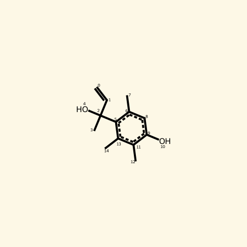 C=CC(C)(O)c1c(C)cc(O)c(C)c1C